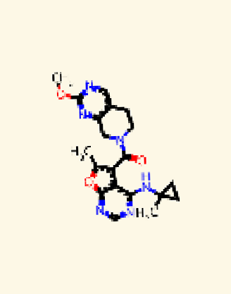 COc1ncc2c(n1)CN(C(=O)c1c(C)oc3ncnc(NC4(C)CC4)c13)CC2